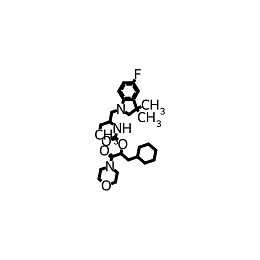 CCC(CN1CC(C)(C)c2cc(F)ccc21)NC(=O)OC(CC1CCCCC1)C(=O)N1CCOCC1